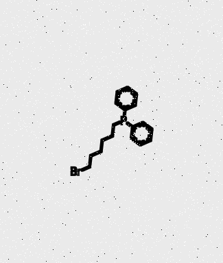 BrCCCCCCP(c1ccccc1)c1ccccc1